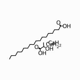 CC(O)C(=O)O.CCCCCCCCCCCCCCCCCC(=O)O.[CaH2].[CaH2]